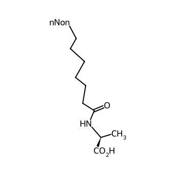 CCCCCCCCCCCCCCCC(=O)N[C@@H](C)C(=O)O